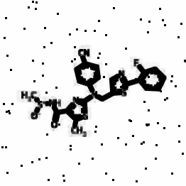 Cc1sc(N(Cc2cnc(-c3ccccc3F)s2)c2ccc(C#N)cc2)nc1C(=O)N[S+](C)[O-]